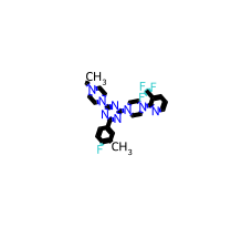 CCN1CCN(c2nc(-c3ccc(F)c(C)c3)nc(N3CCN(c4ncccc4C(F)(F)F)CC3)n2)CC1